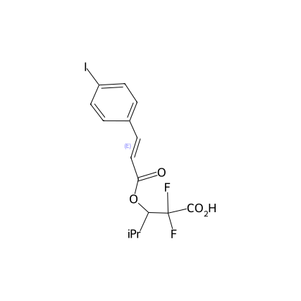 CC(C)C(OC(=O)/C=C/c1ccc(I)cc1)C(F)(F)C(=O)O